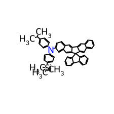 CC(C)c1ccc(N(c2ccc([Si](C)(C)C)cc2)c2ccc3cc4c(cc3c2)C2(c3ccccc3-c3ccccc32)c2cc3ccccc3cc2-4)cc1